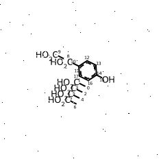 CC(=O)O.CC(=O)O.CC(=O)O.CC(=O)O.CC(=O)O.O=C(O)c1ccc(O)cc1